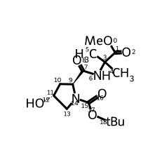 COC(=O)C(C)(C)NC(=O)[C@@H]1C[C@@H](O)CN1C(=O)OC(C)(C)C